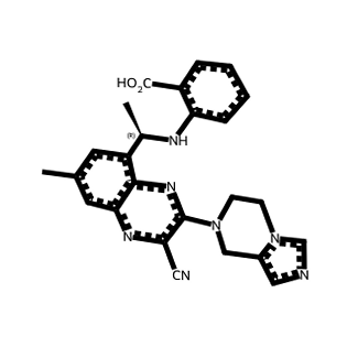 Cc1cc([C@@H](C)Nc2ccccc2C(=O)O)c2nc(N3CCn4cncc4C3)c(C#N)nc2c1